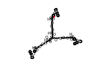 O=C(CCCOCCOCCOCCNS(=O)(=O)c1ccc(O[C@H]2c3ccccc3C[C@@H]2N2CCCCC2)cc1)CCC(CCC(=O)NCCOCCOCCOCCNS(=O)(=O)c1ccc(O[C@H]2c3ccccc3C[C@@H]2N2CCCCC2)cc1)(CCC(=O)NCCOCCOCCOCCNS(=O)(=O)c1ccc(O[C@H]2c3ccccc3C[C@@H]2N2CCCCC2)cc1)[N+](=O)[O-]